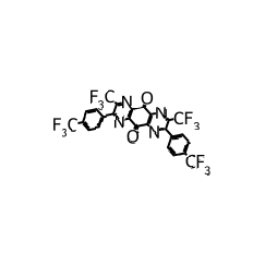 O=C1c2nc(-c3ccc(C(F)(F)F)cc3)c(C(F)(F)F)nc2C(=O)c2nc(C(F)(F)F)c(-c3ccc(C(F)(F)F)cc3)nc21